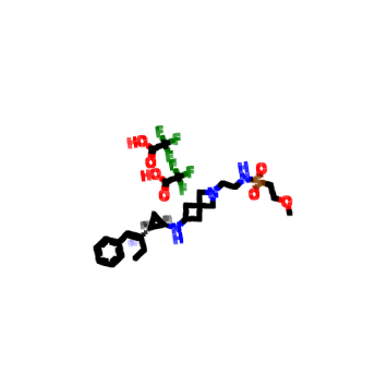 CC/C(=C\c1ccccc1)[C@@H]1C[C@H]1NC1CC2(C1)CN(CCNS(=O)(=O)CCOC)C2.O=C(O)C(F)(F)F.O=C(O)C(F)(F)F